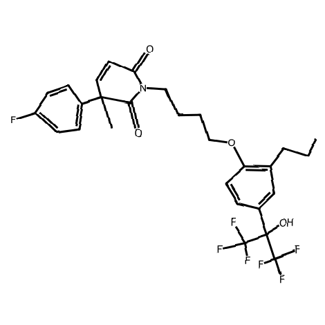 CCCc1cc(C(O)(C(F)(F)F)C(F)(F)F)ccc1OCCCCN1C(=O)C=CC(C)(c2ccc(F)cc2)C1=O